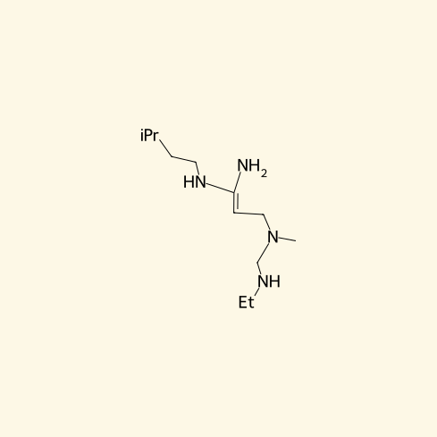 CCNCN(C)C/C=C(\N)NCCC(C)C